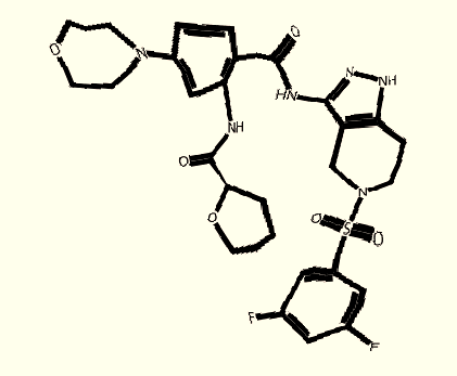 O=C(Nc1n[nH]c2c1CN(S(=O)(=O)c1cc(F)cc(F)c1)CC2)c1ccc(N2CCOCC2)cc1NC(=O)[C@H]1CCCO1